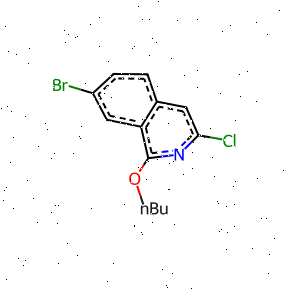 CCCCOc1nc(Cl)cc2ccc(Br)cc12